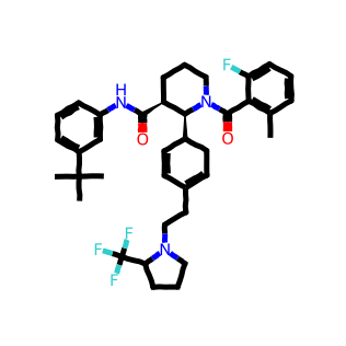 Cc1cccc(F)c1C(=O)N1CCC[C@H](C(=O)Nc2cccc(C(C)(C)C)c2)[C@@H]1C1C=CC(CCN2CCCC2C(F)(F)F)=CC1